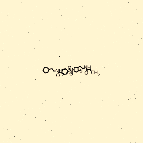 C=CC(=O)NC1CC2CN(S(=O)(=O)c3ccc(C(=O)NCCC4CCCCC4)cc3)CC2S1